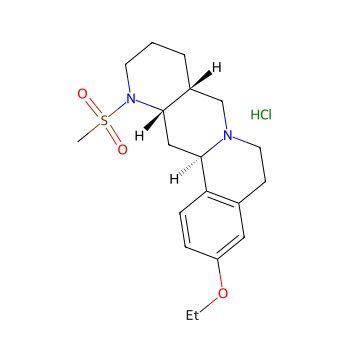 CCOc1ccc2c(c1)CCN1C[C@H]3CCCN(S(C)(=O)=O)[C@H]3C[C@H]21.Cl